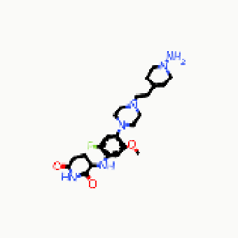 COc1cc(NC2CCC(=O)NC2=O)c(F)cc1N1CCN(CCC2CCN(N)CC2)CC1